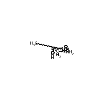 CCCCCCCCCCCCCCCC(CCCCOn1c(CCCC)nc2c(N)nc3ccccc3c21)NC(=O)C1CCNCC1